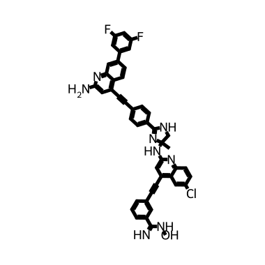 CC1(Nc2cc(C#Cc3cccc(C(=N)NO)c3)c3cc(Cl)ccc3n2)CNC(c2ccc(C#Cc3cc(N)nc4cc(-c5cc(F)cc(F)c5)ccc34)cc2)=N1